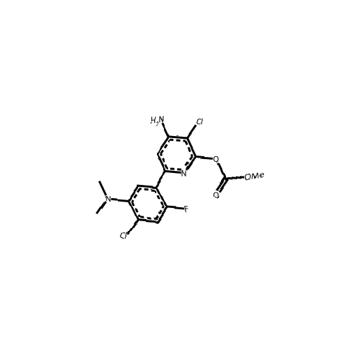 COC(=O)Oc1nc(-c2cc(N(C)C)c(Cl)cc2F)cc(N)c1Cl